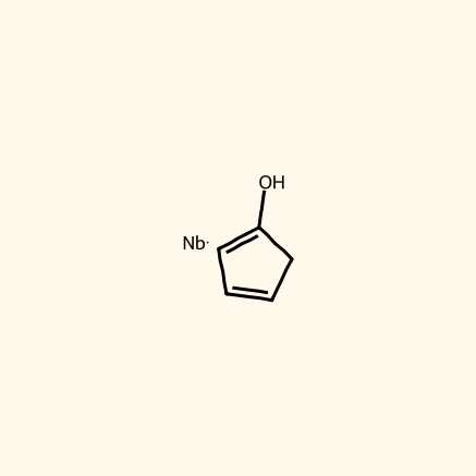 OC1=CC=CC1.[Nb]